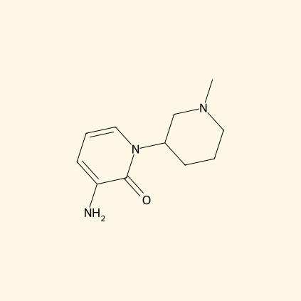 CN1CCCC(n2cccc(N)c2=O)C1